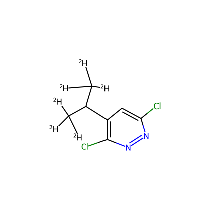 [2H]C([2H])([2H])C(c1cc(Cl)nnc1Cl)C([2H])([2H])[2H]